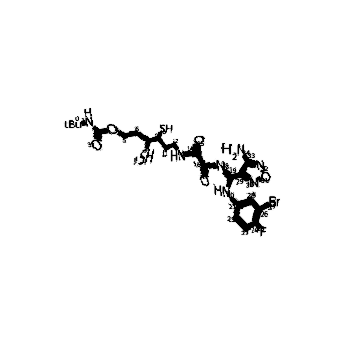 CC(C)(C)NC(=O)OCCC(S)C(S)CCNC(=O)C(=O)/N=C(\Nc1ccc(F)c(Br)c1)c1nonc1N